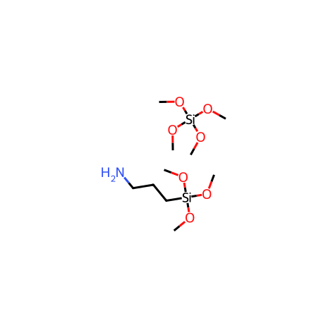 CO[Si](CCCN)(OC)OC.CO[Si](OC)(OC)OC